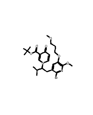 COCCCOc1cc(CC(C(C)C)n2ccc(=O)c(C(=O)OC(C)(C)C)c2)c(Br)nc1OC